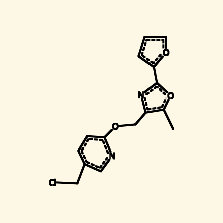 Cc1oc(-c2ccco2)nc1COc1ccc(CCl)cn1